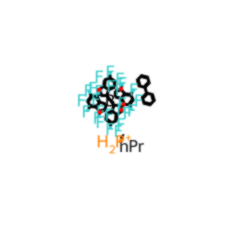 CCC[PH2+]CF.FC1=C(F)C([B-](C2C(F)=C(F)c3c(F)c(F)c(F)c(F)c32)(C2C(F)=C(F)c3c(F)c(F)c(F)c(F)c32)C2C(F)=C(F)c3c(F)c(F)c(F)c(F)c32)c2c(F)c(F)c(F)c(F)c21.c1ccc(-c2ccccc2)cc1